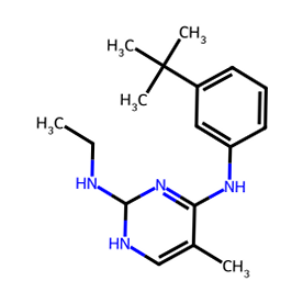 CCNC1N=C(Nc2cccc(C(C)(C)C)c2)C(C)=CN1